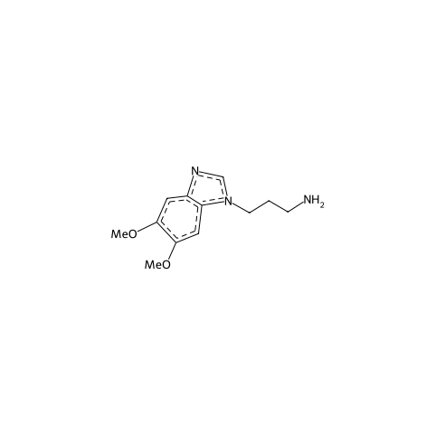 COc1cc2ncn(CCCN)c2cc1OC